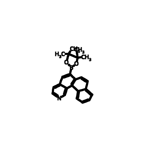 CC1(C)OB(c2cc3ccncc3c3c2ccc2ccccc23)OC1(C)C